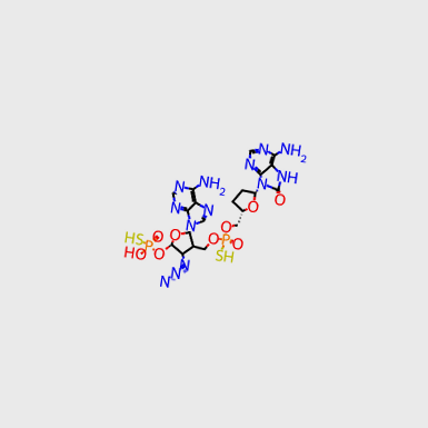 [N-]=[N+]=NC1C(COP(=O)(S)OC[C@@H]2CC[C@H](n3c(=O)[nH]c4c(N)ncnc43)O2)[C@H](n2cnc3c(N)ncnc32)O[C@@H]1OP(=O)(O)S